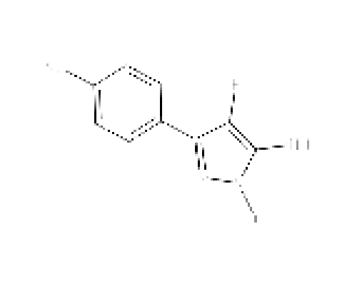 CCc1c(-c2ccc(C#N)cc2)nn(C(C)CC)c1N